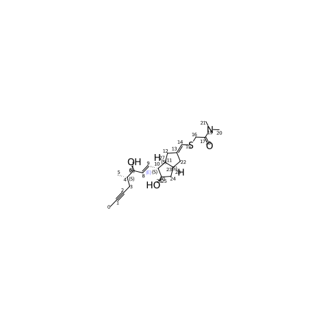 CC#CC[C@H](C)[C@@H](O)/C=C/[C@@H]1[C@H]2CC(=CSCC(=O)N(C)C)C[C@H]2C[C@H]1O